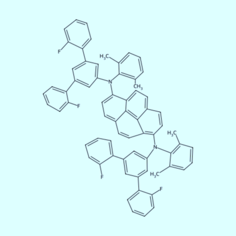 Cc1cccc(C)c1N(c1cc(-c2ccccc2F)cc(-c2ccccc2F)c1)c1ccc2ccc3c(N(c4cc(-c5ccccc5F)cc(-c5ccccc5F)c4)c4c(C)cccc4C)ccc4ccc1c2c43